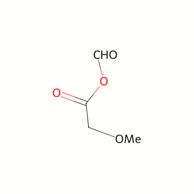 COCC(=O)OC=O